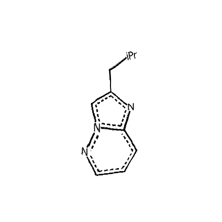 CC(C)Cc1cn2ncccc2n1